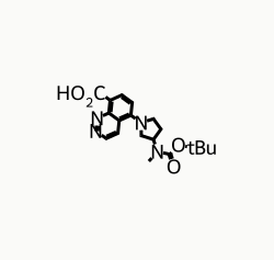 CN(C(=O)OC(C)(C)C)C1CCN(c2ccc(C(=O)O)c3nnccc23)C1